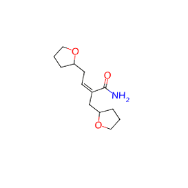 NC(=O)C(=CCC1CCCO1)CC1CCCO1